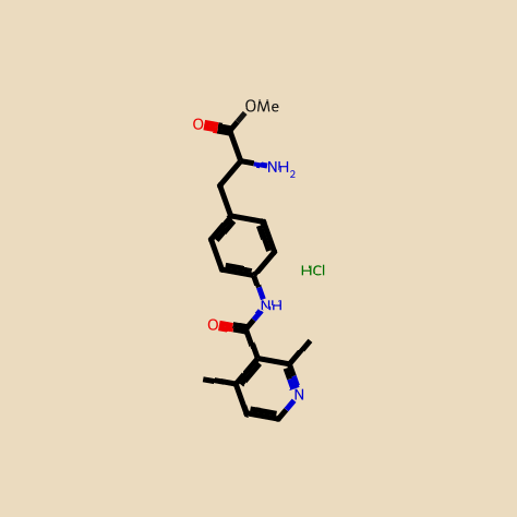 COC(=O)C(N)Cc1ccc(NC(=O)c2c(C)ccnc2C)cc1.Cl